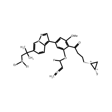 C=C=CC(F)Oc1cc(-c2cnn3cc(C(C)(C)CN(CC)CC)ccc23)cc(OC)c1C(=O)CCC[C@@H]1C[C@@H]1F